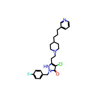 O=c1c(Cl)c(CCN2CCC(CCCc3cccnc3)CC2)[nH]n1Cc1ccc(F)cc1